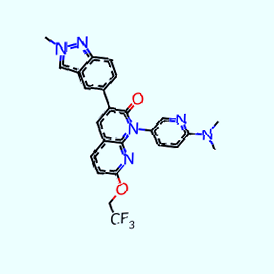 CN(C)c1ccc(-n2c(=O)c(-c3ccc4nn(C)cc4c3)cc3ccc(OCC(F)(F)F)nc32)cn1